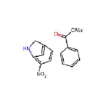 COC(=O)c1ccccc1.O=[N+]([O-])c1ccc2cc1NC2